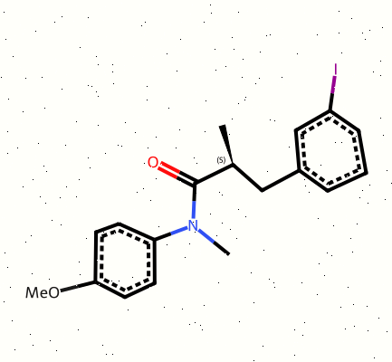 COc1ccc(N(C)C(=O)[C@@H](C)Cc2cccc(I)c2)cc1